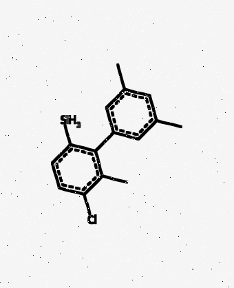 Cc1cc(C)cc(-c2c([SiH3])ccc(Cl)c2C)c1